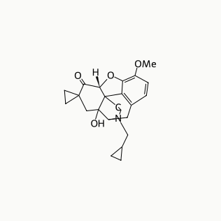 COc1ccc2c3c1O[C@H]1C(=O)C4(CC4)CC4(O)C(C2)N(CC2CC2)CCC314